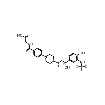 CS(=O)(=O)Nc1cc([C@H](O)CNC2CCN(c3ccc(C(=O)NCC(=O)O)cc3)CC2)ccc1O